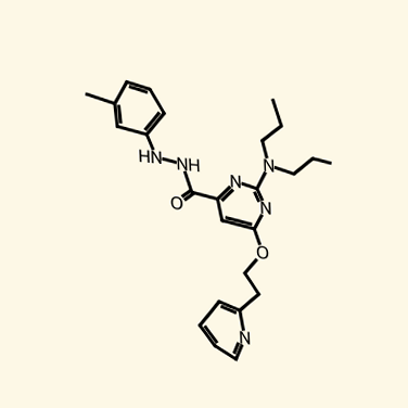 CCCN(CCC)c1nc(OCCc2ccccn2)cc(C(=O)NNc2cccc(C)c2)n1